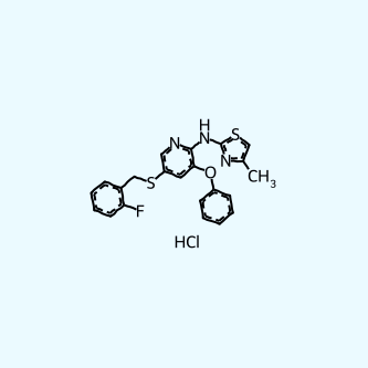 Cc1csc(Nc2ncc(SCc3ccccc3F)cc2Oc2ccccc2)n1.Cl